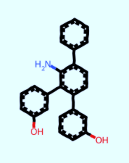 Nc1c(-c2ccccc2)ccc(-c2cccc(O)c2)c1-c1cccc(O)c1